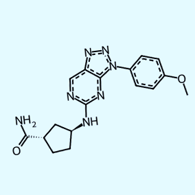 COc1ccc(-n2nnc3cnc(N[C@H]4CC[C@H](C(N)=O)C4)nc32)cc1